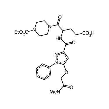 CCOC(=O)N1CCN(C(=O)C(CCC(=O)O)NC(=O)c2cc(OCC(=O)NC)n(-c3ccccc3)n2)CC1